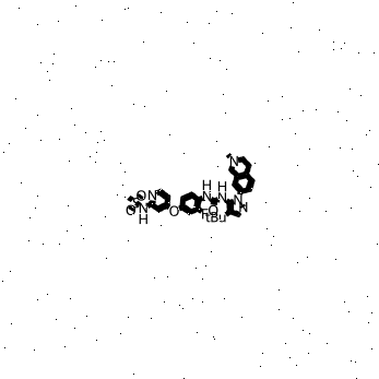 CN1CCc2ccc(-n3ncc(C(C)(C)C)c3NC(=O)Nc3ccc(Oc4ccnc(NS(C)(=O)=O)c4)cc3F)cc2C1